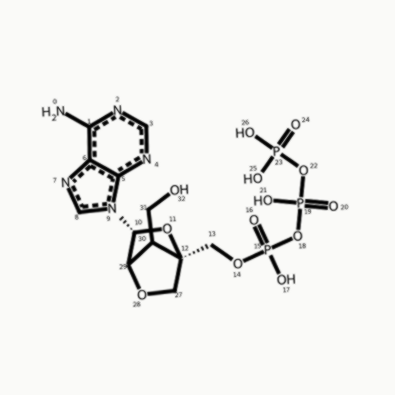 Nc1ncnc2c1ncn2[C@@H]1O[C@@]2(COP(=O)(O)OP(=O)(O)OP(=O)(O)O)COC1C2CO